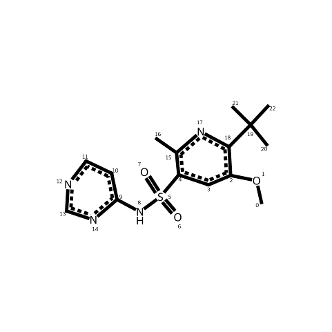 COc1cc(S(=O)(=O)Nc2ccncn2)c(C)nc1C(C)(C)C